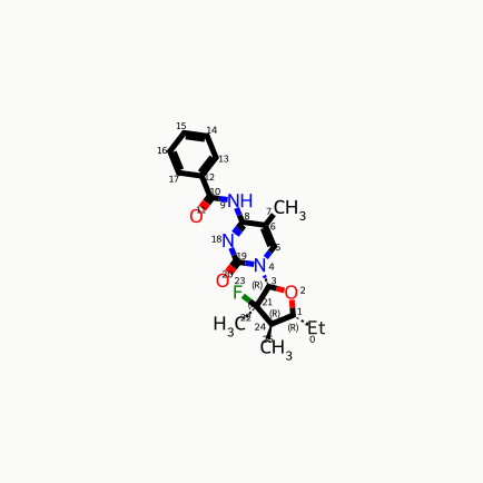 CC[C@H]1O[C@@H](n2cc(C)c(NC(=O)c3ccccc3)nc2=O)[C@](C)(F)[C@@H]1C